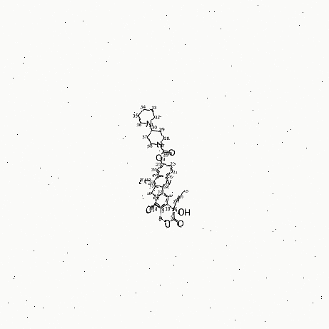 CC#C[C@@]1(O)C(=O)OCc2c1cc1n(c2=O)Cc2c-1nc1ccc(OC(=O)N3CCC(N4CCCCC4)CC3)cc1c2CC